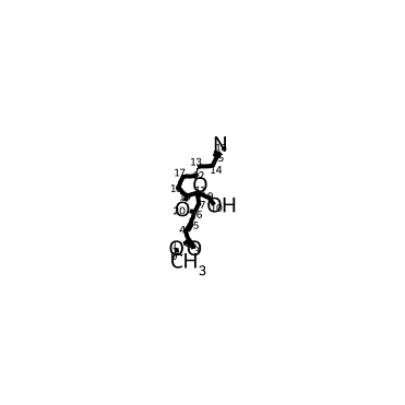 COC(=O)/C=C/C1CC2(CO)O[C@@H](CCC#N)CCC2O1